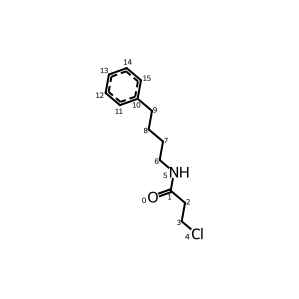 O=C(CCCl)NCCCCc1ccccc1